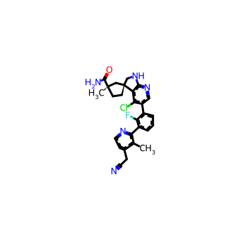 Cc1c(CC#N)ccnc1-c1cccc(-c2cnc3c(c2Cl)[C@@]2(CC[C@@](C)(C(N)=O)C2)CN3)c1F